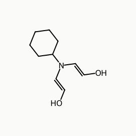 OC=CN(C=CO)C1CCCCC1